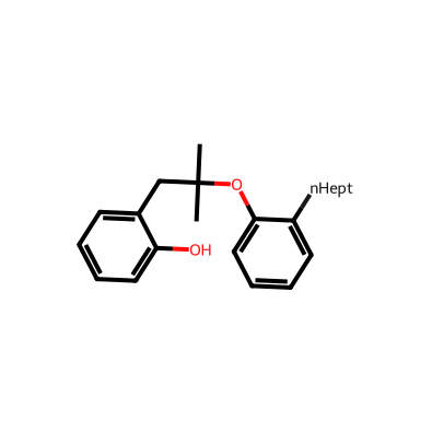 CCCCCCCc1ccccc1OC(C)(C)Cc1ccccc1O